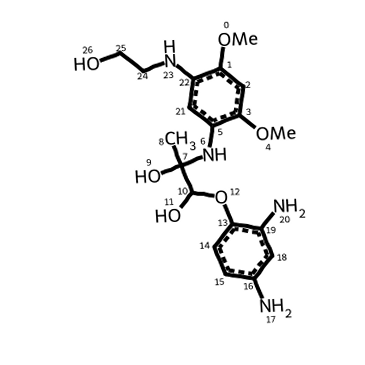 COc1cc(OC)c(NC(C)(O)C(O)Oc2ccc(N)cc2N)cc1NCCO